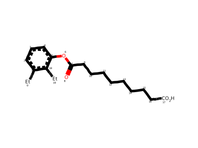 CCc1cccc(OC(=O)CCCCCCCCC(=O)O)c1CC